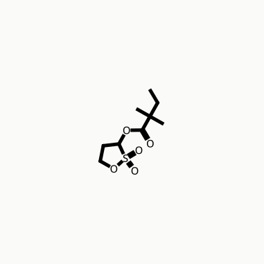 CCC(C)(C)C(=O)OC1CCOS1(=O)=O